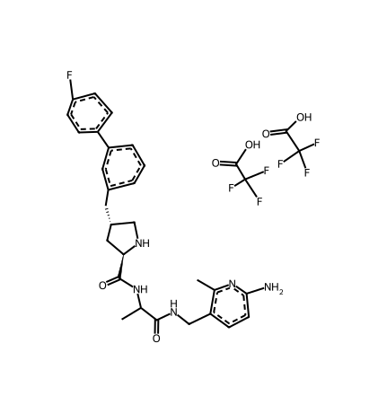 Cc1nc(N)ccc1CNC(=O)C(C)NC(=O)[C@H]1C[C@H](Cc2cccc(-c3ccc(F)cc3)c2)CN1.O=C(O)C(F)(F)F.O=C(O)C(F)(F)F